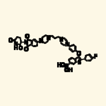 O=C1CCC(N2C(=O)c3ccc(N4CCN(CCCN5CCN(c6ccc(Oc7c(-c8ccc(F)cc8)sc8cc(B(O)O)ccc78)cc6)CC5)CC4)cc3C2=O)C(=O)N1